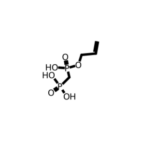 C=CCOP(=O)(O)CP(=O)(O)O